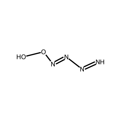 N=NN=NOO